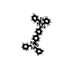 c1ccc(-c2nc(-c3ccccc3)nc(-c3ccc(-c4ccc(-c5nc6c7ccccc7nc(-c7ccccc7)n6n5)cc4)cc3)n2)cc1